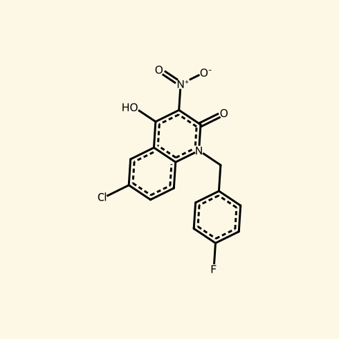 O=c1c([N+](=O)[O-])c(O)c2cc(Cl)ccc2n1Cc1ccc(F)cc1